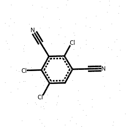 N#Cc1cc(Cl)c(Cl)c(C#N)c1Cl